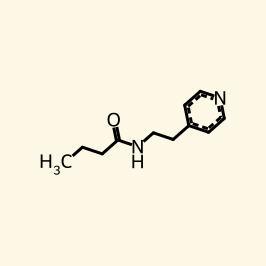 CCCC(=O)NCCc1ccncc1